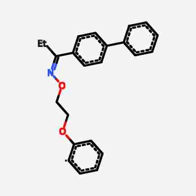 CCC(=NOCCOc1[c]cccc1)c1ccc(-c2ccccc2)cc1